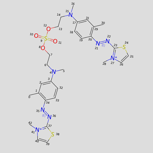 Cc1cc(N(C)CCOS(=O)(=O)OCCN(C)c2ccc(/N=N/c3scc[n+]3C)c(C)c2)ccc1/N=N/c1scc[n+]1C